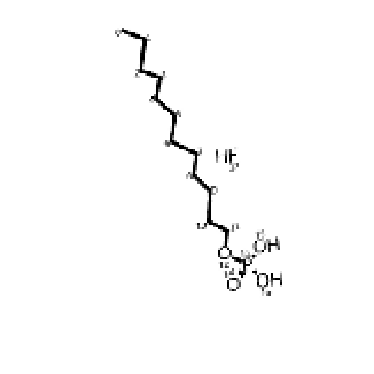 CCCCCCCCCCCCOP(=O)(O)O.F